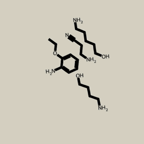 CCOc1ccccc1N.N#CCCN.NCCCCCO.NCCCCO